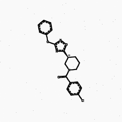 O=C(c1ccc(Cl)cc1)N1CCC[C@H](c2nc(Oc3ccccc3)no2)C1